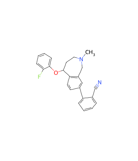 CN1CCC(Oc2ccccc2F)c2ccc(-c3ccccc3C#N)cc2C1